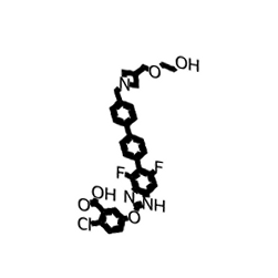 O=C(O)c1cc(Oc2nc3c(F)c(-c4ccc(-c5ccc(CN6CC(COCCO)C6)cc5)cc4)c(F)cc3[nH]2)ccc1Cl